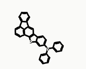 c1ccc(N(c2ccccc2)c2ccc3c(c2)sc2c4cccc5c4c(cc32)-c2ccccc2-5)cc1